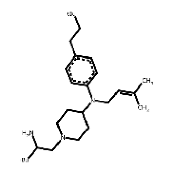 CCC(C)C(N)CN1CCC(N(CC=C(C)C)c2ccc(CCC(C)(C)C)cc2)CC1